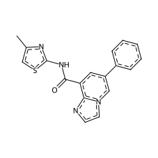 Cc1csc(NC(=O)c2cc(-c3ccccc3)cn3ccnc23)n1